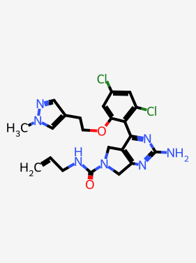 C=CCNC(=O)N1Cc2nc(N)nc(-c3c(Cl)cc(Cl)cc3OCCc3cnn(C)c3)c2C1